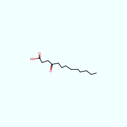 CCCCCCCCCC(=O)CCC(=O)O